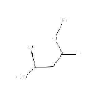 CCCCC(O)CC(=O)OCC